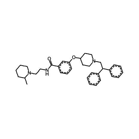 CC1CCCCN1CCNC(=O)c1cccc(OC2CCN(CC(c3ccccc3)c3ccccc3)CC2)c1